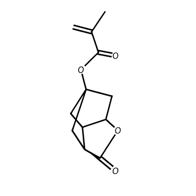 C=C(C)C(=O)OC12CC3OC(=O)C(C1)C3C2